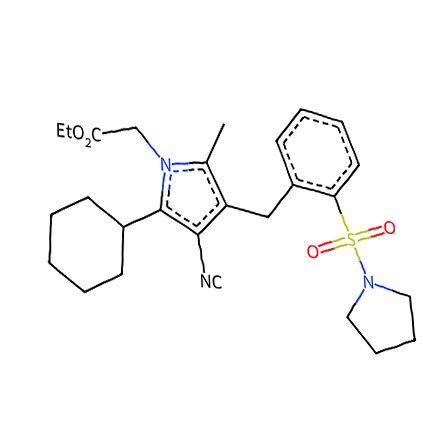 [C-]#[N+]c1c(Cc2ccccc2S(=O)(=O)N2CCCC2)c(C)n(CC(=O)OCC)c1C1CCCCC1